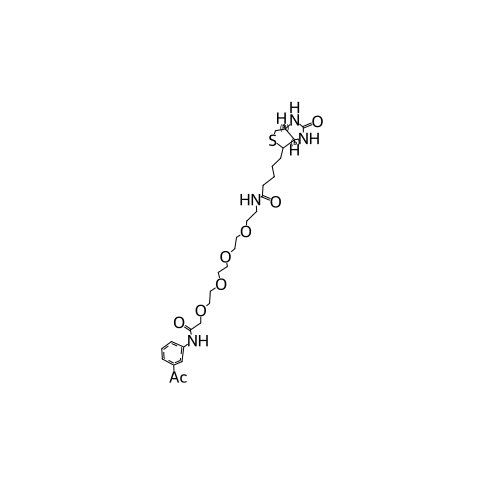 CC(=O)c1cccc(NC(=O)COCCOCCOCCOCCNC(=O)CCCCC2SC[C@@H]3NC(=O)N[C@H]23)c1